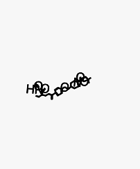 C=C(CCC(CC)C(=O)NOC)c1ccc(OCC2CCN(C(=O)OC(C)(C)C)CC2)cc1